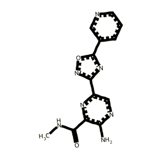 CNC(=O)c1nc(-c2noc(-c3cccnc3)n2)cnc1N